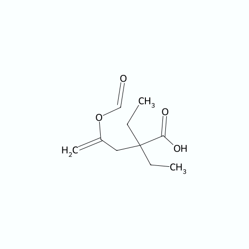 C=C(CC(CC)(CC)C(=O)O)OC=O